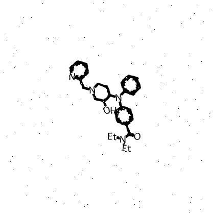 CCN(CC)C(=O)c1ccc(N(c2ccccc2)C2CCN(Cc3ccccn3)CC2O)cc1